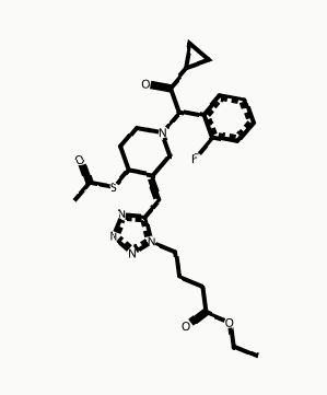 CCOC(=O)CCCn1nnnc1C=C1CN(C(C(=O)C2CC2)c2ccccc2F)CCC1SC(C)=O